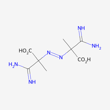 CC(N=NC(C)(C(=N)N)C(=O)O)(C(=N)N)C(=O)O